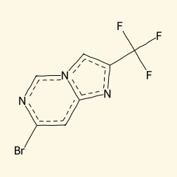 FC(F)(F)c1cn2cnc(Br)cc2n1